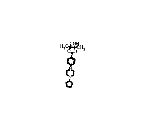 CC1(C)OB(c2ccc(N3CCN(C4CCCC4)CC3)cc2)OC1(C)C